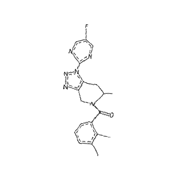 Cc1cccc(C(=O)N2Cc3nnn(-c4ncc(F)cn4)c3CC2C)c1C